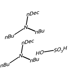 CCCCCCCCCCN(CCCC)CCCC.CCCCCCCCCCN(CCCC)CCCC.O=S(=O)(O)O